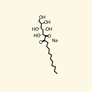 CCCCCCCCCCCC(=O)C(=O)[C@H](O)[C@@H](O)[C@H](O)[C@H](O)CO.[Na]